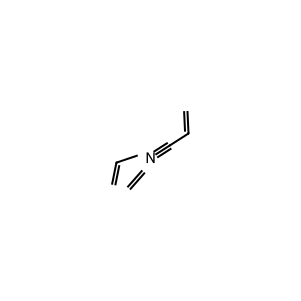 C=C.C=CC.C=CC#N